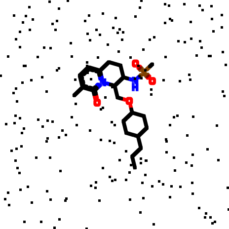 CCCC1CCC(OCC2C(NS(C)(=O)=O)CCc3ccc(C)c(=O)n32)CC1